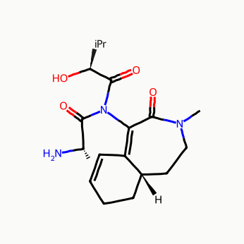 CC(C)[C@H](O)C(=O)N(C(=O)[C@H](C)N)C1=C2C=CCC[C@H]2CCN(C)C1=O